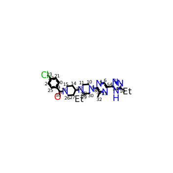 CCc1nnc(-c2cnc(N3CCN(C4CCN(C(=O)c5ccc(Cl)cc5)CC4)[C@@H](CC)C3)c(C)n2)[nH]1